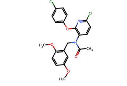 COc1ccc(OC)c(CN(C(C)=O)c2ccc(Cl)nc2Oc2ccc(Cl)cc2)c1